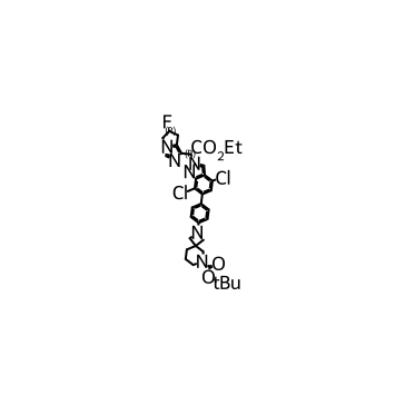 CCOC(=O)[C@@H](c1ncn2c1C[C@@H](F)C2)n1cc2c(Cl)cc(-c3ccc(N4CC5(CCCN(C(=O)OC(C)(C)C)C5)C4)cc3)c(Cl)c2n1